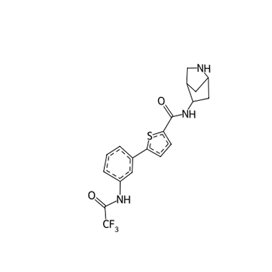 O=C(NC1CC2CC1CN2)c1ccc(-c2cccc(NC(=O)C(F)(F)F)c2)s1